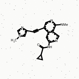 CNc1ncc(C#Cc2cn(C)cn2)c2cc(NC(=O)C3CC3)ncc12